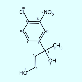 CC(O)(CCO)c1ccc(Cl)c([N+](=O)[O-])c1